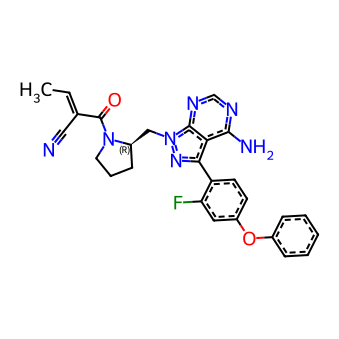 CC=C(C#N)C(=O)N1CCC[C@@H]1Cn1nc(-c2ccc(Oc3ccccc3)cc2F)c2c(N)ncnc21